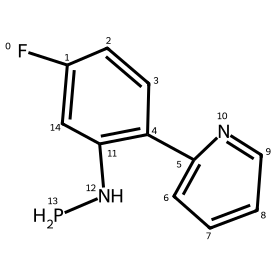 Fc1ccc(-c2ccccn2)c(NP)c1